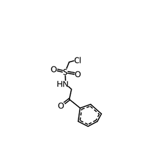 O=C(CNS(=O)(=O)CCl)c1ccccc1